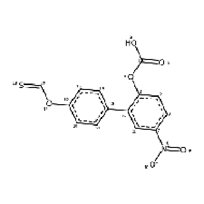 O=C(O)Oc1ccc([N+](=O)[O-])cc1-c1ccc(OC=S)cc1